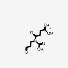 C=C(O)CCC(=O)N(CCC=O)C(=O)O